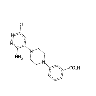 Nc1nnc(Cl)cc1N1CCN(c2cccc(C(=O)O)c2)CC1